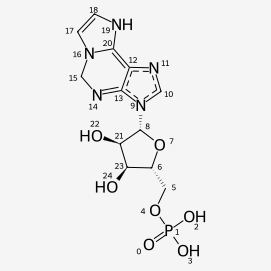 O=P(O)(O)OC[C@H]1O[C@@H](n2cnc3c2=NCN2C=CNC=32)[C@H](O)[C@@H]1O